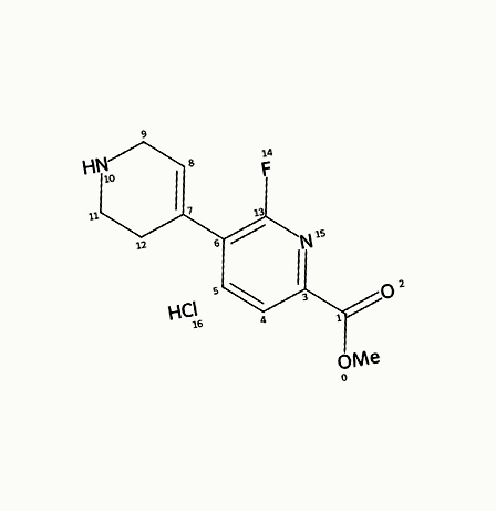 COC(=O)c1ccc(C2=CCNCC2)c(F)n1.Cl